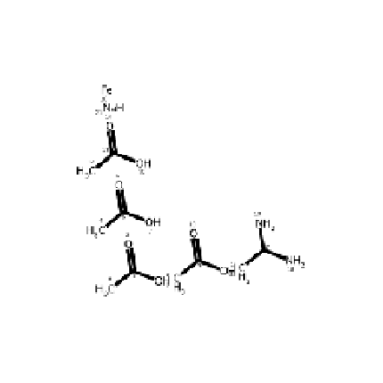 CC(=O)O.CC(=O)O.CC(=O)O.CC(=O)O.CC(N)N.[Fe].[NaH]